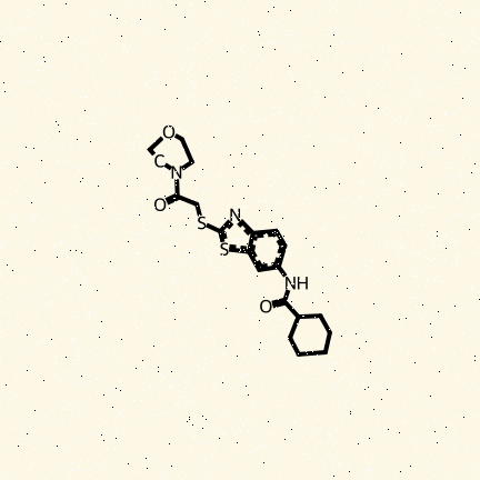 O=C(Nc1ccc2nc(SCC(=O)N3CCOCC3)sc2c1)C1CCCCC1